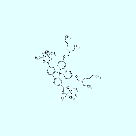 CCCCC(CC)COc1ccc(C2(c3ccc(OCC(CC)CCCC)cc3)c3cc(C4OC(C)(C)C(C)(C)O4)ccc3-c3ccc(C4OC(C)(C)C(C)(C)O4)cc32)cc1